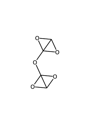 O1C2OC12OC12OC1O2